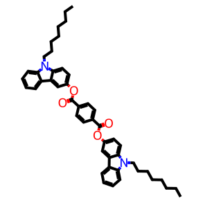 CCCCCCCCn1c2ccccc2c2cc(OC(=O)c3ccc(C(=O)Oc4ccc5c(c4)c4ccccc4n5CCCCCCCC)cc3)ccc21